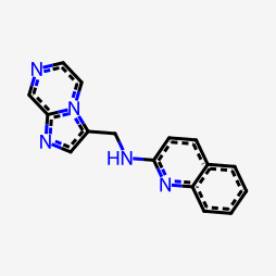 c1ccc2nc(NCc3cnc4cnccn34)ccc2c1